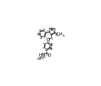 CCCNC(=O)c1ccc(OCc2c(-c3ccncc3)noc2C)nn1